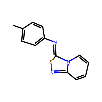 Cc1ccc(/N=c2\snc3ccccn23)cc1